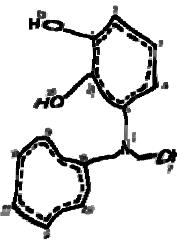 Oc1cccc(N(O)c2ccccc2)c1O